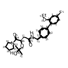 CCOc1cc(F)ccc1-c1ccc(CNC(=O)C[C@@H](OC(C)(C)O)C(=O)N2CCCC2)cc1